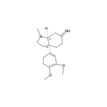 COC1=C(OC)CCC([C@@]23CCC(=N)C[C@@H]2N(C)CC3)=C1